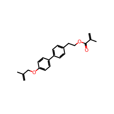 C=C(C)COc1ccc(-c2ccc(CCOC(=O)C(=C)C)cc2)cc1